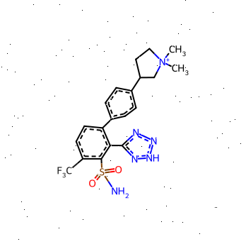 C[N+]1(C)CCC(c2ccc(-c3ccc(C(F)(F)F)c(S(N)(=O)=O)c3-c3nn[nH]n3)cc2)C1